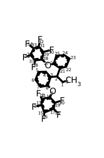 CCC(c1ccccc1Oc1c(F)c(F)c(F)c(F)c1F)c1ccccc1Oc1c(F)c(F)c(F)c(F)c1F